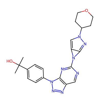 CC(C)(O)c1ccc(-n2nnc3cnc(N4c5cn(C6CCOCC6)nc54)nc32)cc1